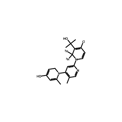 [2H]C1([2H])C(C(C)(C)O)=C(Cl)C=CN1c1cc(N2CC=C(O)C=C2C)c(C)cn1